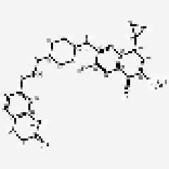 O=C1COc2ccc(CNCC3CCC(Nc4nc5c(cc4F)c(=O)c(C(=O)O)cn5C4CC4)CC3)nc2N1